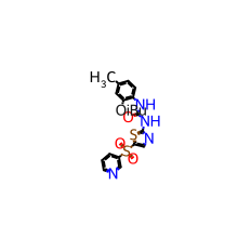 Cc1ccc(NC(=O)Nc2ncc(S(=O)(=O)c3cccnc3)s2)c(OCC(C)C)c1